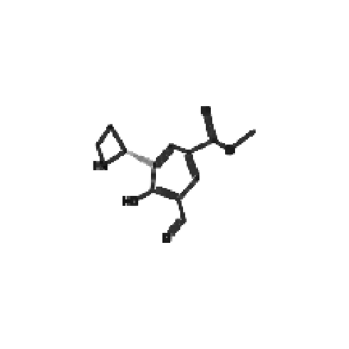 COC(=O)c1cc(C=O)c(O)c([C@H]2CCN2)c1